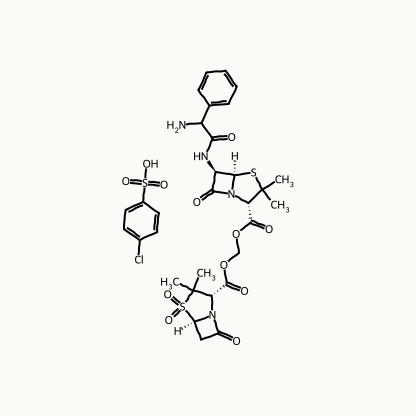 CC1(C)S[C@@H]2[C@H](NC(=O)C(N)c3ccccc3)C(=O)N2[C@H]1C(=O)OCOC(=O)[C@@H]1N2C(=O)C[C@H]2S(=O)(=O)C1(C)C.O=S(=O)(O)c1ccc(Cl)cc1